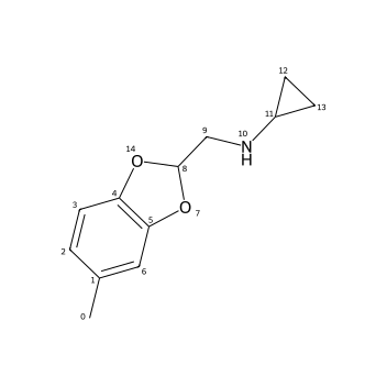 Cc1ccc2c(c1)OC(CNC1CC1)O2